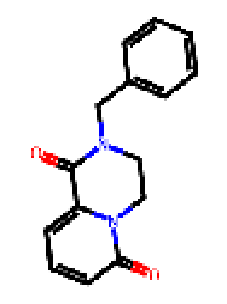 O=C1c2cccc(=O)n2CCN1Cc1ccccc1